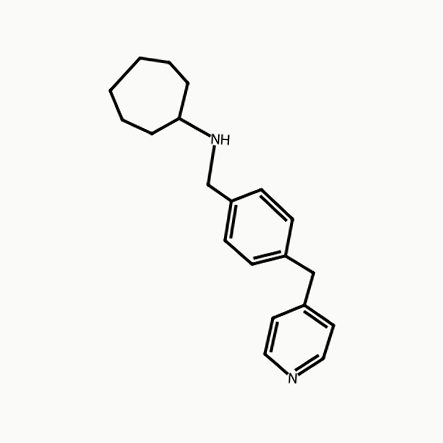 c1cc(Cc2ccc(CNC3CCCCCC3)cc2)ccn1